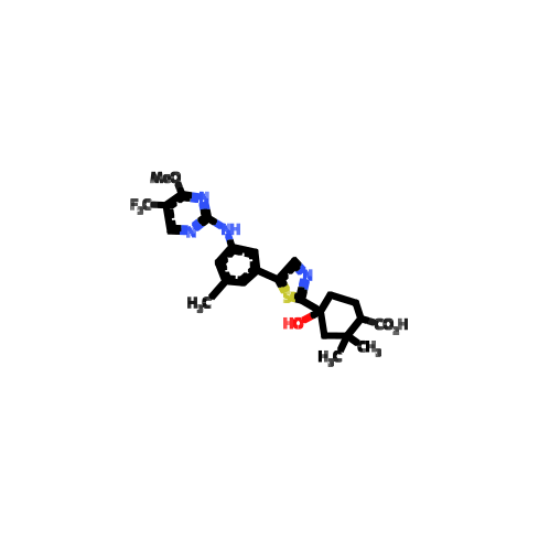 COc1nc(Nc2cc(C)cc(-c3cnc(C4(O)CCC(C(=O)O)C(C)(C)C4)s3)c2)ncc1C(F)(F)F